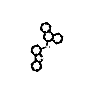 c1ccc2c(c1)cc(Nc1cccc3c1sc1ccccc13)c1ccccc12